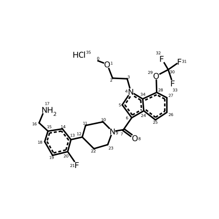 COCCn1cc(C(=O)N2CCC(c3cc(CN)ccc3F)CC2)c2cccc(OC(F)(F)F)c21.Cl